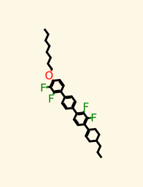 CCCCCCCCOc1ccc(-c2ccc(-c3ccc(C4=CCC(CCC)CC4)c(F)c3F)cc2)c(F)c1F